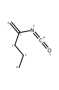 C=C(CCC)N=C=O